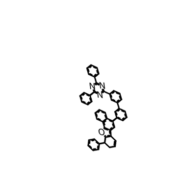 C1=Cc2c(oc3c2cc(-c2cccc(-c4cccc(-c5nc(-c6ccccc6)nc(-c6ccccc6)n5)c4)c2)c2ccccc23)C(c2ccccc2)C1